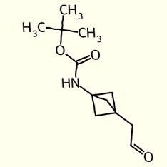 CC(C)(C)OC(=O)NC12CC(CC=O)(C1)C2